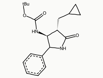 CC(C)(C)OC(=O)N[C@@H]1C(c2ccccc2)NC(=O)[C@H]1CC1CC1